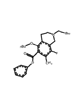 CCCCOc1c2c(c(F)c(C)c1C(=O)Oc1ccccc1)CN(CC(C)(C)C)CC2